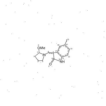 COC1CCCN1C=C1C(=O)Nc2ccc(I)cc21